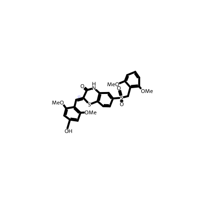 COc1cc(O)cc(OC)c1/C=C1\Sc2ccc(S(=O)(=O)Cc3c(OC)cccc3OC)cc2NC1=O